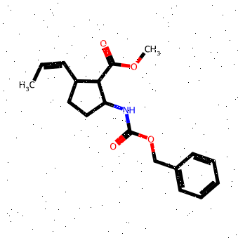 C/C=C\C1CCC(NC(=O)OCc2ccccc2)C1C(=O)OC